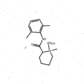 CCCCC[N+]1(C)CCCCC1C(=O)Nc1c(C)cccc1C.[I-]